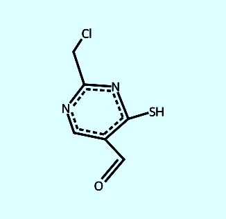 O=Cc1cnc(CCl)nc1S